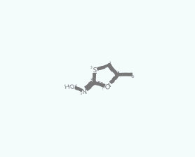 CC1CSC(=NO)O1